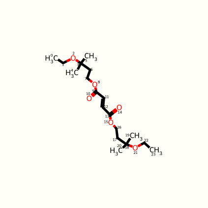 CCOC(C)(C)CCOC(=O)/C=C/C(=O)OCCC(C)(C)OCC